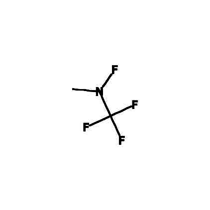 CN(F)C(F)(F)F